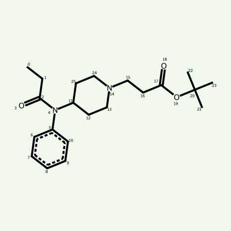 CCC(=O)N(c1ccccc1)C1CCN(CCC(=O)OC(C)(C)C)CC1